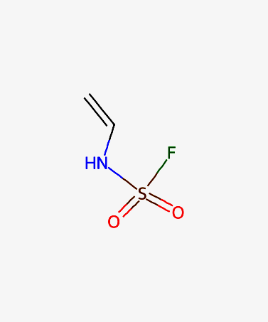 C=CNS(=O)(=O)F